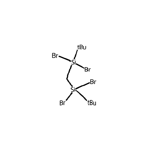 CC(C)(C)[Si](Br)(Br)C[Si](Br)(Br)C(C)(C)C